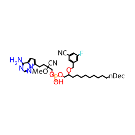 CCCCCCCCCCCCCCCCCCCC(COP(O)OCC(C#N)(CCc1ccc2c(N)ncnn12)OC)OCc1cc(F)cc(C#N)c1